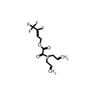 C=CCN(CC=C)C(=O)C(=O)OC/C=C(\F)C(F)(F)F